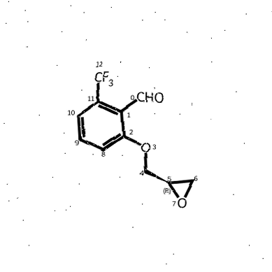 O=Cc1c(OC[C@H]2CO2)cccc1C(F)(F)F